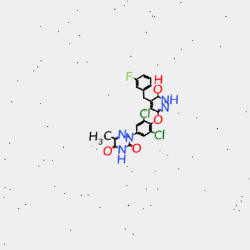 Cc1nn(-c2cc(Cl)c(OC3=NNC(O)C(Cc4cccc(F)c4)=C3)c(Cl)c2)c(=O)[nH]c1=O